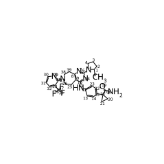 CC1CCCN1c1nc2c(c(Nc3ccc(C4(C(N)=O)CC4)cc3)n1)CCN(c1ncccc1C(F)(F)F)CC2